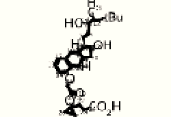 CC(CC(C)(C)C)[C@H](O)CC[C@@H]1[C@H]2Cc3cccc(OCC(=O)OC4(CCC(=O)O)CC4)c3C[C@H]2C[C@H]1O